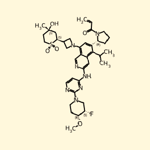 C=CC(=O)N1CCC[C@@H]1c1cc(N2CC([C@@H]3C[C@@](C)(O)CCS3(=O)=O)C2)c2cnc(Nc3ccnc(N4CC[C@@H](OC)[C@@H](F)C4)n3)cc2c1C(C)C